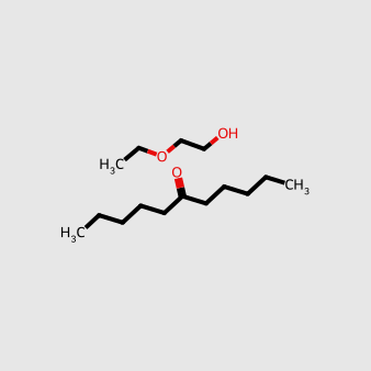 CCCCCC(=O)CCCCC.CCOCCO